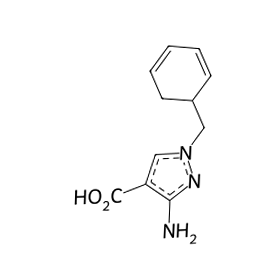 Nc1nn(CC2C=CC=CC2)cc1C(=O)O